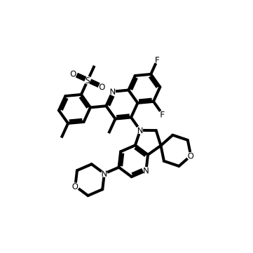 Cc1ccc(S(C)(=O)=O)c(-c2nc3cc(F)cc(F)c3c(N3CC4(CCOCC4)c4ncc(N5CCOCC5)cc43)c2C)c1